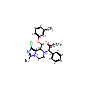 CCc1nc(Cl)c2n1CCN([C@@H](C(=O)NC)c1ccccc1)C2COc1cccc(C(F)(F)F)c1